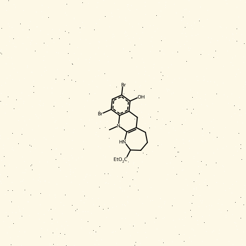 CCOC(=O)C1CCCC2=C(N1)N(C)c1c(Br)cc(Br)c(O)c1C2